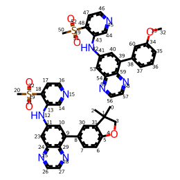 CC1(C)COc2ccc(-c3cc(Nc4cnccc4S(C)(=O)=O)cc4nccnc34)cc21.COc1cccc(-c2cc(Nc3cnccc3S(C)(=O)=O)cc3nccnc23)c1